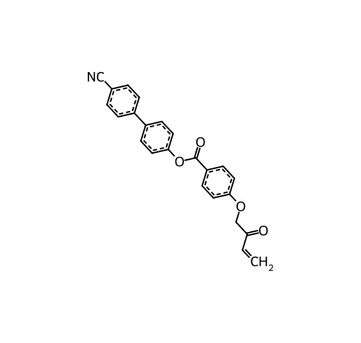 C=CC(=O)COc1ccc(C(=O)Oc2ccc(-c3ccc(C#N)cc3)cc2)cc1